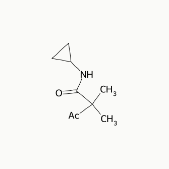 CC(=O)C(C)(C)C(=O)NC1CC1